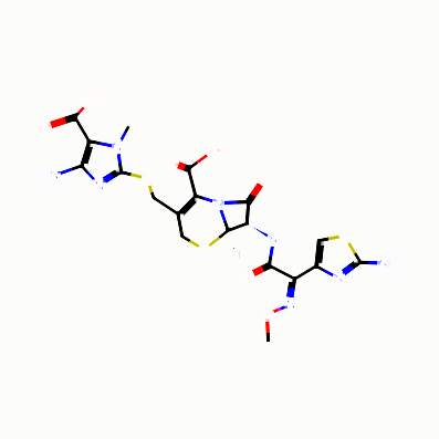 CO/N=C(\C(=O)N[C@@H]1C(=O)N2C(C(=O)O)=C(CSc3nc(N)c(C(=O)O)n3C)CS[C@H]12)c1csc(N)n1